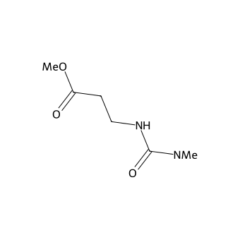 CNC(=O)NCCC(=O)OC